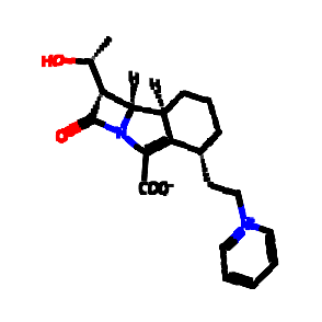 C[C@@H](O)[C@H]1C(=O)N2C(C(=O)[O-])=C3[C@@H](CC[n+]4ccccc4)CCC[C@@H]3[C@H]12